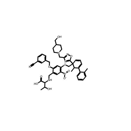 Cc1ccccc1C1=CC=CC(COc2cc(OCc3cccc(C#N)c3)c(CNC(C(=O)O)C(C)O)cc2[N+](=O)[O-])(c2nc(CN3CCC(CO)CC3)no2)C1C